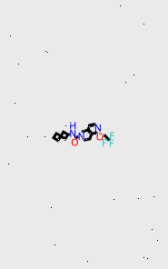 O=C(NC1CC2(CCC2)C1)N1CCc2c(ccnc2OCC(F)(F)F)C1